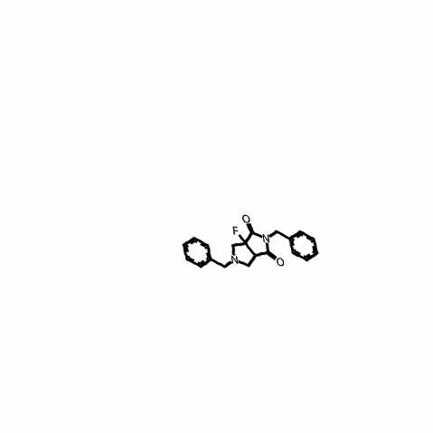 O=C1C2CN(Cc3ccccc3)CC2(F)C(=O)N1Cc1ccccc1